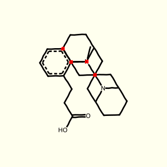 CN(c1ccccc1CCC(=O)O)C1CC2CCCC(C1)N2C1CC2CCCC(C2)C1